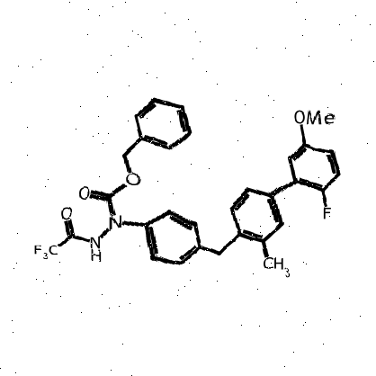 COc1ccc(F)c(-c2ccc(Cc3ccc(N(NC(=O)C(F)(F)F)C(=O)OCc4ccccc4)cc3)c(C)c2)c1